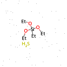 CCO[Si](CC)(OCC)OCC.S